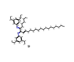 CCCCCCCCCCCCCCC/C=C/C(=N\c1cc(CC)cc(CC)c1)C(/CCCCC)=N/c1cc(CC)cc(CC)c1.[Ni]